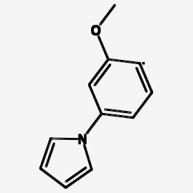 COc1[c]ccc(-n2cccc2)c1